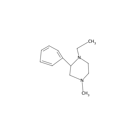 CCN1CCN(C)CC1c1ccccc1